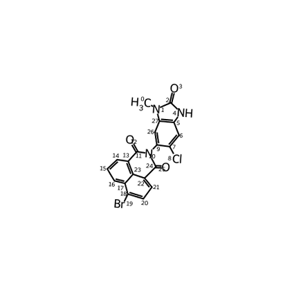 Cn1c(=O)[nH]c2cc(Cl)c(N3C(=O)c4cccc5c(Br)ccc(c45)C3=O)cc21